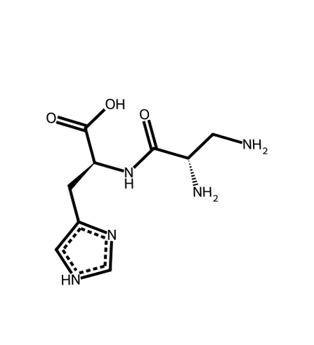 NC[C@H](N)C(=O)N[C@@H](Cc1c[nH]cn1)C(=O)O